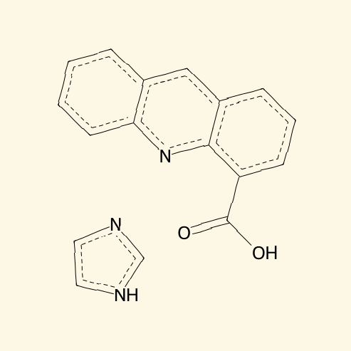 O=C(O)c1cccc2cc3ccccc3nc12.c1c[nH]cn1